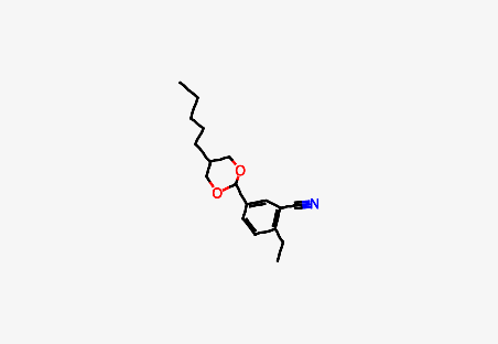 CCCCCC1COC(c2ccc(CC)c(C#N)c2)OC1